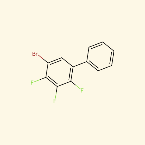 Fc1c(Br)cc(-c2ccccc2)c(F)c1F